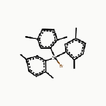 Cc1ccc(C)c([Si](Br)(c2cc(C)ccc2C)c2cc(C)ccc2C)c1